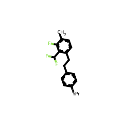 CCCc1ccc(CCc2ccc(C)c(F)c2C(F)F)cc1